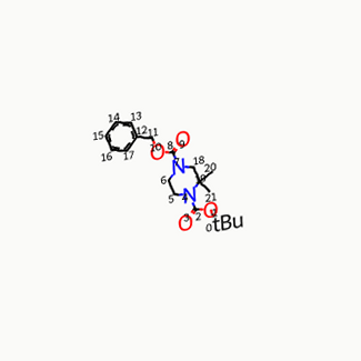 CC(C)(C)OC(=O)N1CCN(C(=O)OCc2ccccc2)CC1(C)C